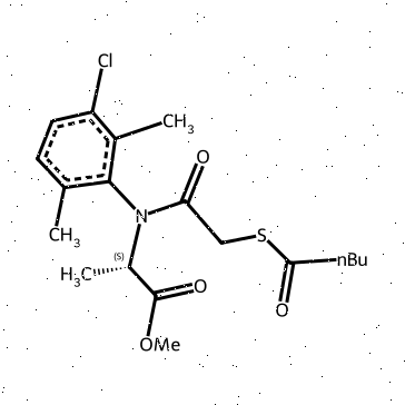 CCCCC(=O)SCC(=O)N(c1c(C)ccc(Cl)c1C)[C@@H](C)C(=O)OC